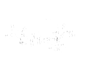 CCCNC(=O)C(=O)[C@H]1CCCCCCCCC[C@H](NC(=O)N[C@H](CN2C(=O)CC(C)(C)CC2=O)C(C)(C)C)C(=O)N2C[C@H]3[C@@H]([C@H]2C(=O)N1)C3(C)C